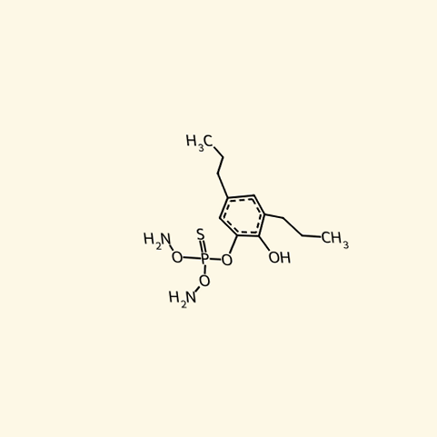 CCCc1cc(CCC)c(O)c(OP(=S)(ON)ON)c1